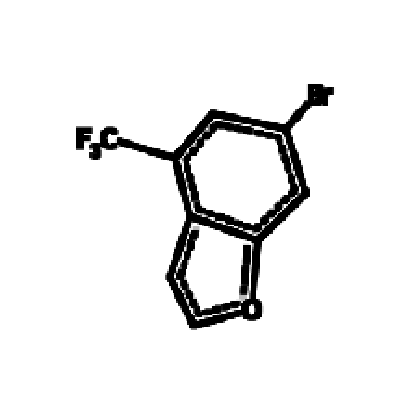 FC(F)(F)c1cc(Br)cc2occc12